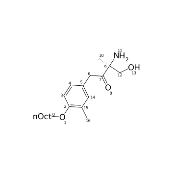 CCCCCCCCOc1ccc(CC(=O)[C@@](C)(N)CO)cc1C